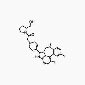 CN1Cc2c(C3=CCN(CC(=O)N4CCC[C@H]4CO)CC3)[nH]c3ncc(F)c(c23)-c2cc(F)ccc21